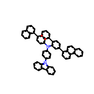 c1ccc(-c2ccc(-c3cccc4c3ccc3ccccc34)cc2N(c2ccc(-c3cccc4ccccc34)cc2)c2ccc(-n3c4ccccc4c4ccccc43)cc2)cc1